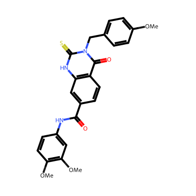 COc1ccc(Cn2c(=S)[nH]c3cc(C(=O)Nc4ccc(OC)c(OC)c4)ccc3c2=O)cc1